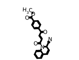 COC(=O)c1ccc(C(=O)/C=C/C(=O)N2c3ccccc3C=CC2C#N)cc1